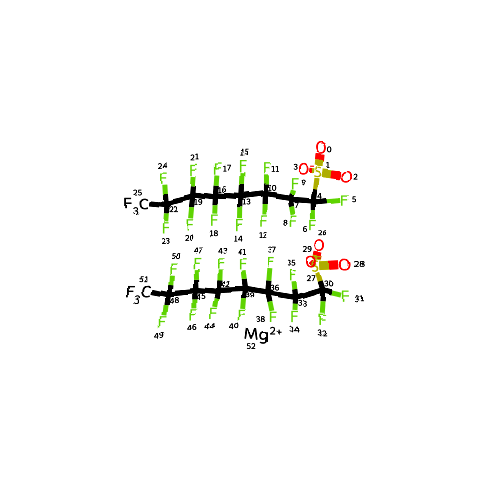 O=S(=O)([O-])C(F)(F)C(F)(F)C(F)(F)C(F)(F)C(F)(F)C(F)(F)C(F)(F)C(F)(F)F.O=S(=O)([O-])C(F)(F)C(F)(F)C(F)(F)C(F)(F)C(F)(F)C(F)(F)C(F)(F)C(F)(F)F.[Mg+2]